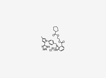 CCOC1Nc2cccc(C(=O)OCCOC(=O)C3CCCCC3)c2N1Cc1ccc(-n2cc(C)cc2-c2nnn[nH]2)cc1